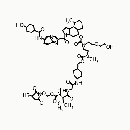 CC1CCCC2C(OC(=O)N(CCOCCO)CCN(C)C(=O)OCC3CCC(NC(=O)CNC(=O)[C@@H](NC(=O)OCON4C(=O)CC(S)C4=O)C(C)C)CC3)CC3C(CCN3C(=O)c3cn4cc(NC(=O)C5CCC(O)CC5)ccc4n3)C12